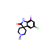 CCN1CCC2(CC1)C(=O)Nc1c(I)cc(Cl)cc12